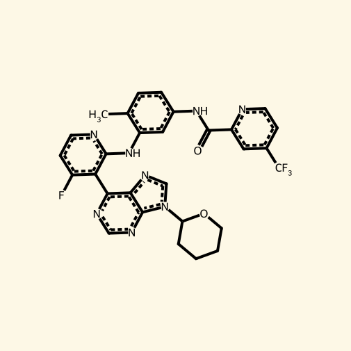 Cc1ccc(NC(=O)c2cc(C(F)(F)F)ccn2)cc1Nc1nccc(F)c1-c1ncnc2c1ncn2C1CCCCO1